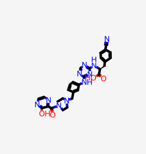 N#Cc1ccc(C[C@H](Nc2ncnc(Nc3cccc(CN4CCN(C(=O)c5nccnc5O)CC4)c3)n2)C(=O)O)cc1